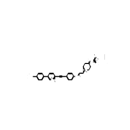 NC(=O)OC1CCN(CCOc2ccc(C#Cc3ccc(-c4ccc(Cl)cc4)cn3)cc2)CC1